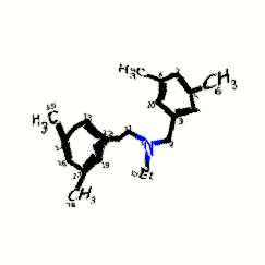 CCN(Cc1cc(C)cc(C)c1)Cc1cc(C)cc(C)c1